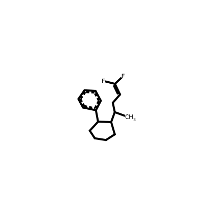 CC(CC=C(F)F)C1CCCCC1c1ccccc1